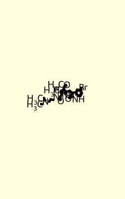 CCN(CC)CCCNC(=O)c1[nH]c(C=C2C(=O)Nc3ccc(Br)cc32)c(C(C)=O)c1C